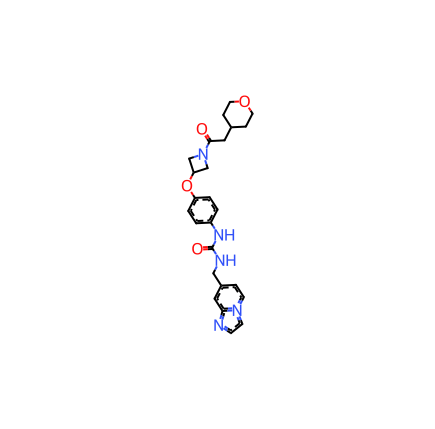 O=C(NCc1ccn2ccnc2c1)Nc1ccc(OC2CN(C(=O)CC3CCOCC3)C2)cc1